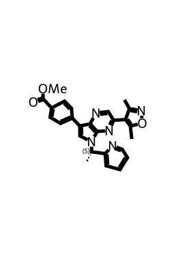 COC(=O)c1ccc(-c2cn([C@@H](C)c3ccccn3)c3nc(-c4c(C)noc4C)cnc23)cc1